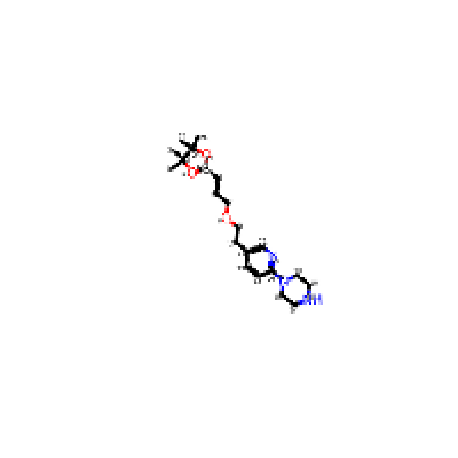 CC1(C)OB(CCCOCCc2ccc(N3CCNCC3)nc2)OC1(C)C